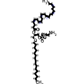 CC/C=C\C/C=C\C/C=C\C/C=C\C/C=C\C/C=C\CCC(=O)O[C@H](COCCCCCCCCCCCCCCCC)COP(=O)(O)OCCN